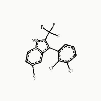 Fc1ccc2[nH]c(C(F)(F)F)c(-c3cccc(Cl)c3Cl)c2c1